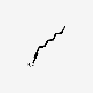 [CH2]C#CCCCCCCBr